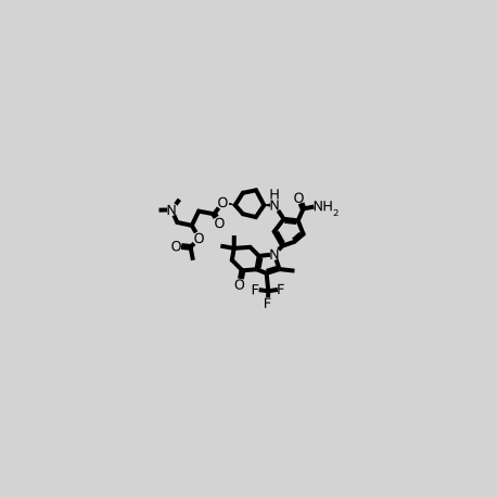 CC(=O)OC(CC(=O)O[C@H]1CC[C@H](Nc2cc(-n3c(C)c(C(F)(F)F)c4c3CC(C)(C)CC4=O)ccc2C(N)=O)CC1)CN(C)C